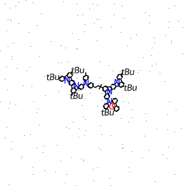 Cc1ccc(N(c2ccc(CCC(C)(C)c3cc4c5ccc(N(c6ccccc6)c6cccc7c6oc6c(C(C)(C)C)cccc67)cc5n5c6cc7c8cc(C(C)(C)C)cc9c%10cc(C(C)(C)C)ccc%10n(c7cc6c(c3)c45)c98)cc2)c2ccc3c4cc(C(C)(C)C)cc5c6cc7c(cc6n(c3c2)c45)c2cc(C(C)(C)C)cc3c4cc(C(C)(C)C)ccc4n7c32)cc1